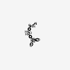 CN(C)CCCNC(=O)c1ccc(NC(=O)Nc2ccc(-c3nc(N4CCOCC4)nc(N4C5CCC4COC5)n3)cc2)cc1